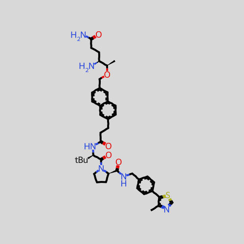 Cc1ncsc1-c1ccc(CNC(=O)[C@H]2CCCN2C(=O)[C@H](NC(=O)CCc2ccc3cc(CO[C@H](C)[C@@H](N)CCC(N)=O)ccc3c2)C(C)(C)C)cc1